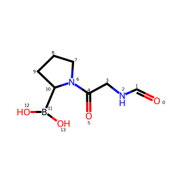 O=CNCC(=O)N1CCCC1B(O)O